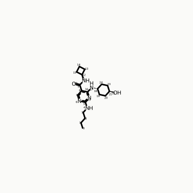 CCCCNc1ncc(C(=O)NC2CCC2)c(N[C@H]2CC[C@H](O)CC2)n1